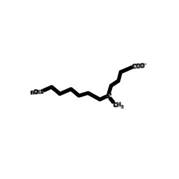 CCCCCCCCCCCCCC[S+](C)CCCC(=O)[O-]